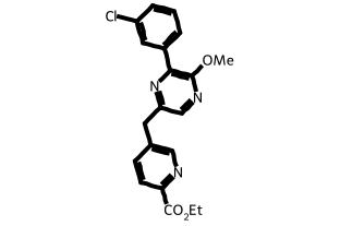 CCOC(=O)c1ccc(Cc2cnc(OC)c(-c3cccc(Cl)c3)n2)cn1